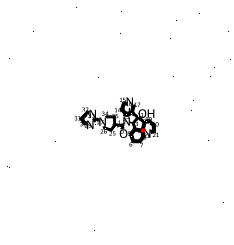 O=C(N[C@H](c1ccccc1)C(O)(c1cccnc1)c1cccnc1)C1CCN(c2ncccn2)CC1